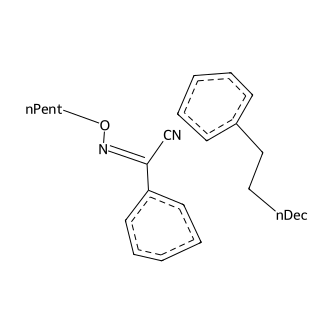 CCCCCCCCCCCCc1ccccc1.CCCCCON=C(C#N)c1ccccc1